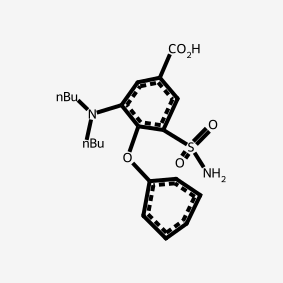 CCCCN(CCCC)c1cc(C(=O)O)cc(S(N)(=O)=O)c1Oc1ccccc1